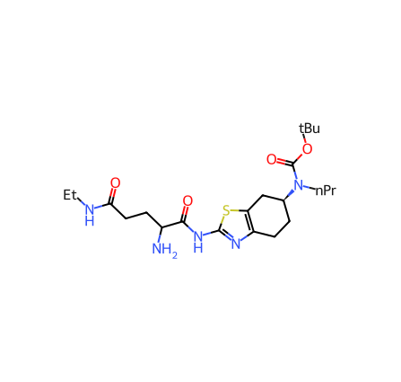 CCCN(C(=O)OC(C)(C)C)[C@H]1CCc2nc(NC(=O)C(N)CCC(=O)NCC)sc2C1